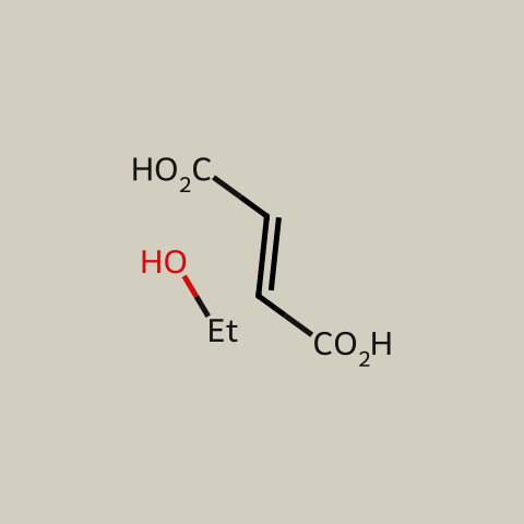 CCO.O=C(O)C=CC(=O)O